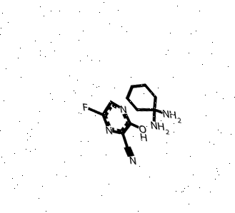 N#Cc1nc(F)cnc1O.NC1(N)CCCCC1